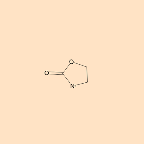 O=C1[N]CCO1